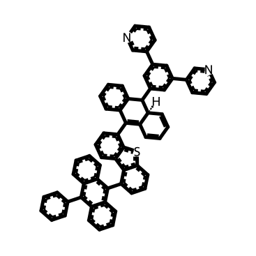 C1=CC2=C(c3cccc4c3sc3cccc(-c5c6ccccc6c(-c6ccccc6)c6ccccc56)c34)c3ccccc3C(c3cc(-c4cccnc4)cc(-c4cccnc4)c3)[C@H]2C=C1